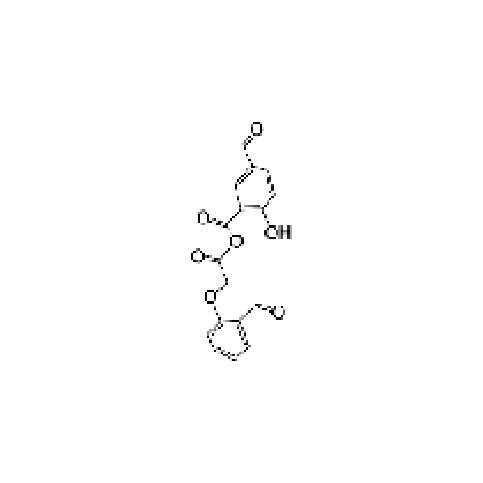 O=Cc1ccc(O)c(C(=O)OC(=O)COc2ccccc2C=O)c1